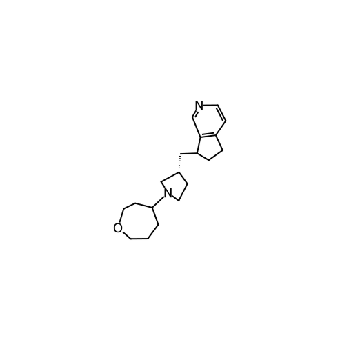 c1cc2c(cn1)C(C[C@@H]1CCN(C3CCCOCC3)C1)CC2